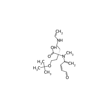 C=CNCC[C@](CCOC(C)(C)C)(C(=O)O)N(C)C(=C)/C=C\C=O